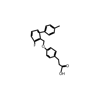 Cc1ccc(-c2cccc(F)c2COc2ccc(CCC(=O)O)cc2)cc1